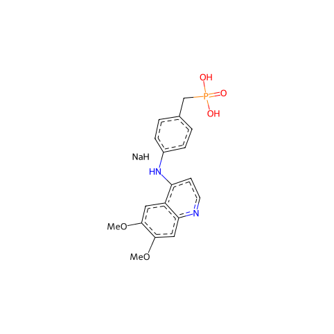 COc1cc2nccc(Nc3ccc(CP(=O)(O)O)cc3)c2cc1OC.[NaH]